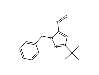 CC(C)(C)c1cc([C]=O)n(Cc2ccccc2)n1